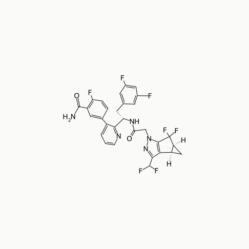 NC(=O)c1cc(-c2cccnc2[C@H](Cc2cc(F)cc(F)c2)NC(=O)Cn2nc(C(F)F)c3c2C(F)(F)[C@H]2C[C@@H]32)ccc1F